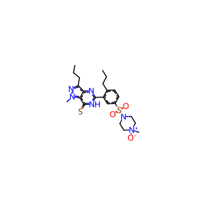 CCCc1ccc(S(=O)(=O)N2CC[N+](C)([O-])CC2)cc1-c1nc2c(CCC)nn(C)c2c(=S)[nH]1